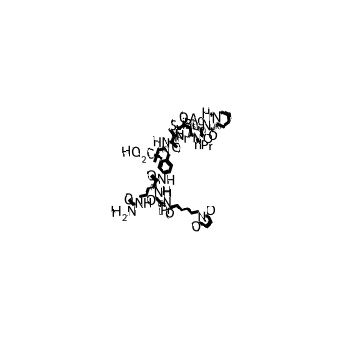 CCCN(C(=O)[C@@H](NC(=O)[C@H]1CCCCN1C)[C@@H](C)CC)[C@H](C[C@@H](OC(C)=O)c1nc(C(=O)N[C@@H](Cc2ccc(NC(=O)[C@H](CCCNC(N)=O)NC(=O)[C@@H](NC(=O)CCCCCN3C(=O)C=CC3=O)C(C)C)cc2)CC(C)(C)C(=O)O)cs1)C(C)C